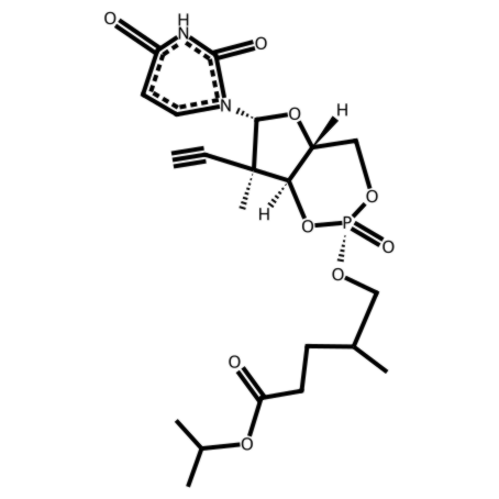 C#C[C@]1(C)[C@@H]2O[P@@](=O)(OCC(C)CCC(=O)OC(C)C)OC[C@H]2O[C@H]1n1ccc(=O)[nH]c1=O